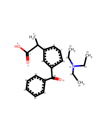 CC(C(=O)O)c1cccc(C(=O)c2ccccc2)c1.CCN(CC)CC